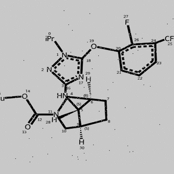 CC(C)n1nc(N[C@@H]2[C@@H]3CC[C@H]2CN(C(=O)OC(C)(C)C)C3)nc1Oc1cccc(C(F)(F)F)c1F